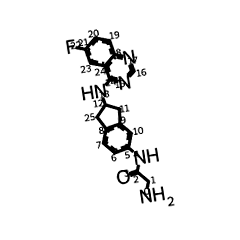 NCC(=O)Nc1ccc2c(c1)CC(Nc1ncnc3ccc(F)cc13)C2